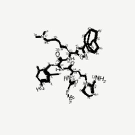 Cc1cc(O)cc(C)c1C[C@H](NC(=O)[C@@H](CCCn1ccnc1N)NC(=O)OC(C)(C)C)C(=O)N[C@@H](CCCCN(C)C)c1nc(C23CC4CC(CC(C4)C2)C3)no1